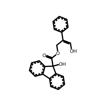 O=C(OCC(=CO)c1ccccc1)C1(O)c2ccccc2-c2ccccc21